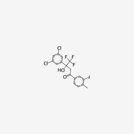 Cc1ccc(C(=O)CC(O)(c2cc(Cl)cc(Cl)c2)C(F)(F)F)cc1I